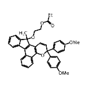 CCC(=O)OCCOC1(C)c2ccccc2-c2c1c1c(c3ccccc23)OC(c2ccc(OC)cc2)(c2ccc(OC)cc2)C=C1